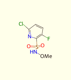 CONS(=O)(=O)c1nc(Cl)ccc1F